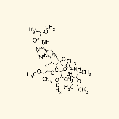 CO[C@H](C)C(=O)Nc1ncnn2c([C@H](OC(=O)[C@@H](C)OC)[C@H](OC(=O)[C@@H](C)OC)[C@@](C#N)(CO[PH](=O)N[C@@H](C)C(=O)OC(C)C)OC)ccc12